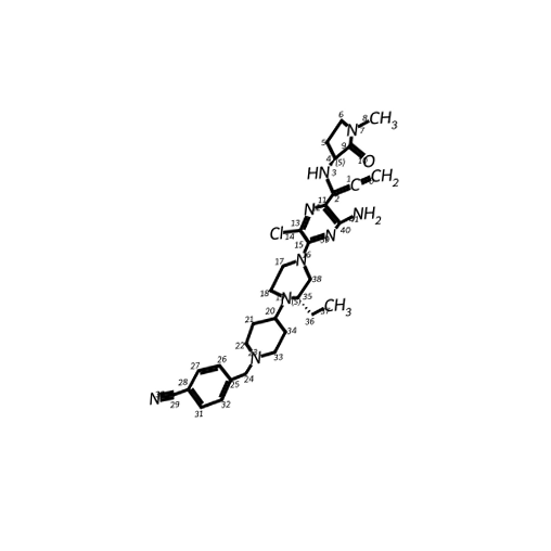 C=C=C(N[C@H]1CCN(C)C1=O)c1nc(Cl)c(N2CCN(C3CCN(Cc4ccc(C#N)cc4)CC3)[C@@H](CC)C2)nc1N